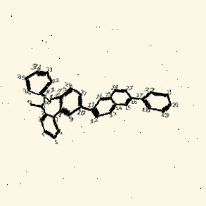 C=C1c2ccccc2-c2cc(-c3ccc4cc(-c5ccccc5)ccc4c3)ccc2N1c1ccccc1